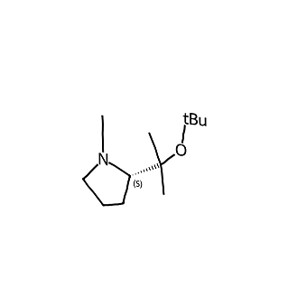 CN1CCC[C@H]1C(C)(C)OC(C)(C)C